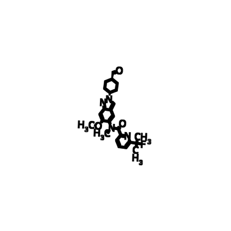 COc1cc2nn([C@H]3CC[C@H](C=O)CC3)cc2cc1N(C)C(=O)c1cccc(C(C)(C)F)n1